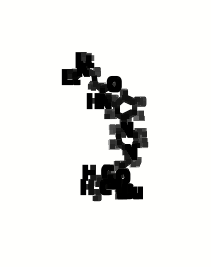 CCN(CC)CCC(=O)Nc1cccc(N2CCN(CCO[Si](C)(C)C(C)(C)C)CC2)c1